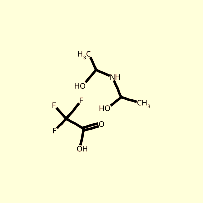 CC(O)NC(C)O.O=C(O)C(F)(F)F